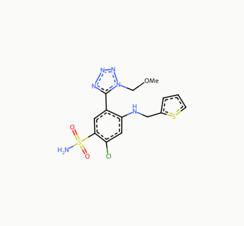 COCn1nnnc1-c1cc(S(N)(=O)=O)c(Cl)cc1NCc1cccs1